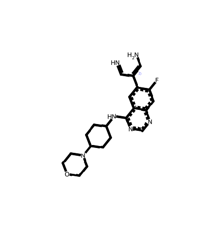 N=C/C(=C\N)c1cc2c(NC3CCC(N4CCOCC4)CC3)ncnc2cc1F